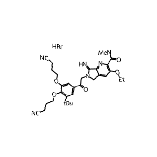 Br.CCOc1cc2c(nc1C(=O)NC)C(=N)N(CC(=O)c1cc(OCCCC#N)c(OCCCC#N)c(C(C)(C)C)c1)C2